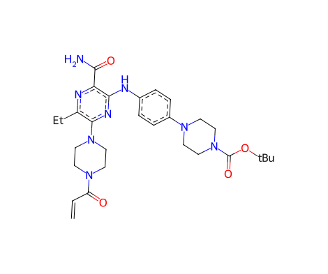 C=CC(=O)N1CCN(c2nc(Nc3ccc(N4CCN(C(=O)OC(C)(C)C)CC4)cc3)c(C(N)=O)nc2CC)CC1